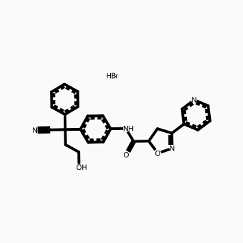 Br.N#CC(CCO)(c1ccccc1)c1ccc(NC(=O)C2CC(c3cccnc3)=NO2)cc1